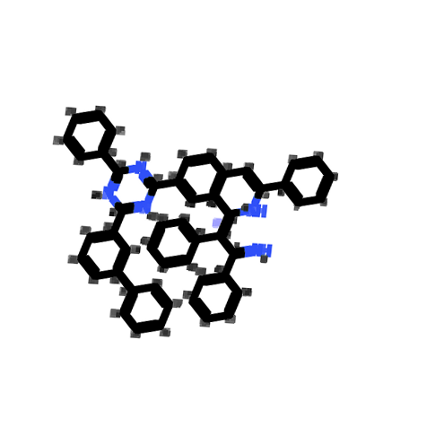 N=C(/C(=C1\NC(c2ccccc2)=Cc2ccc(-c3nc(-c4ccccc4)nc(-c4cccc(-c5ccccc5)c4)n3)cc21)c1ccccc1)c1ccccc1